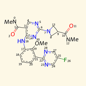 CNC(=O)c1cnc(N2CC(C(=O)NC)C2)nc1Nc1cccc(-c2ncc(F)cn2)c1OC